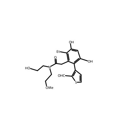 CCc1c(O)cc(O)c(-c2ccsc2C=O)c1CC(=O)N(CCO)CCOC